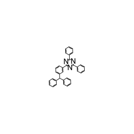 c1ccc(-c2nc(-c3ccccc3)nc(-c3cccc(C(c4ccccc4)c4ccccc4)c3)n2)cc1